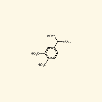 CCCCCCCCC(CCCCCCCC)c1ccc(C(=O)O)c(C(=O)O)c1